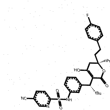 CCC[C@@]1(CCc2ccc(F)cc2)CC(O)=C([C@@H](c2cccc(NS(=O)(=O)c3ccc(C#N)cn3)c2)C(C)(C)C)C(=O)O1